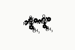 COc1cccc(C(=O)CN2c3ccccc3Cn3c2nc(-c2ccncc2)cc3=O)c1.COc1cccc(C(=O)CN2c3ccccc3Cn3c2nc(-c2ccncn2)cc3=O)c1